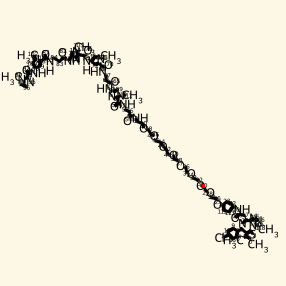 Cc1sc2c(c1C)C(c1ccc(Cl)cc1)=N[C@@H](CC(=O)Nc1ccc(OCCOCCOCCOCCOCCOCCOCCOCCOCCNC(=O)CCNC(=O)c3nc(NC(=O)CCNC(=O)c4cc(NC(=O)c5nc(NC(=O)CCNC(=O)c6cc(NC(=O)c7nccn7C)cn6C)cn5C)cn4C)cn3C)cc1)c1nnc(C)n1-2